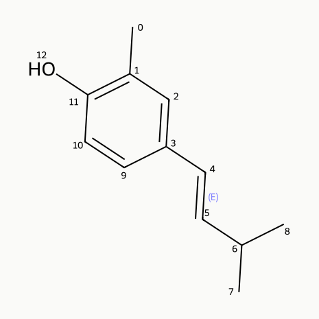 Cc1cc(/C=C/C(C)C)ccc1O